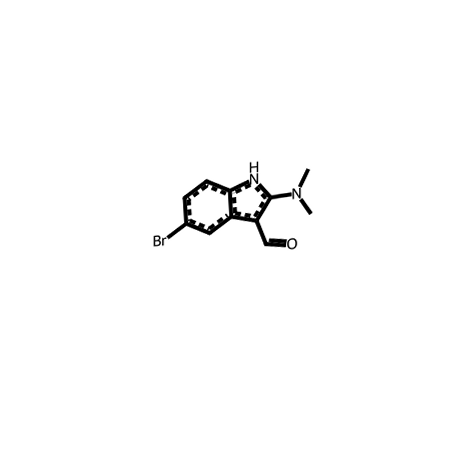 CN(C)c1[nH]c2ccc(Br)cc2c1C=O